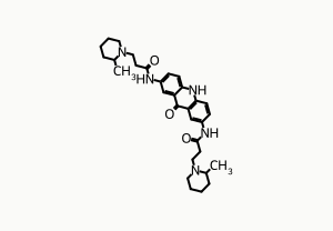 CC1CCCCN1CCC(=O)Nc1ccc2[nH]c3ccc(NC(=O)CCN4CCCCC4C)cc3c(=O)c2c1